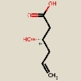 C=CC[C@H](O)CC(=O)O